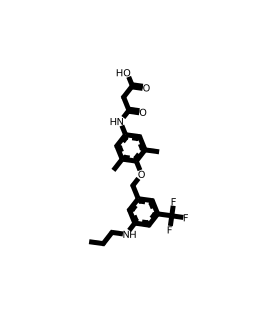 CCCNc1cc(COc2c(C)cc(NC(=O)CC(=O)O)cc2C)cc(C(F)(F)F)c1